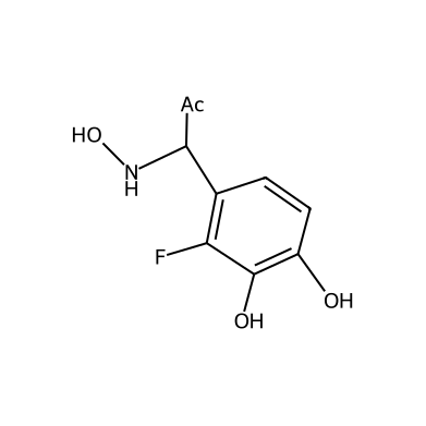 CC(=O)C(NO)c1ccc(O)c(O)c1F